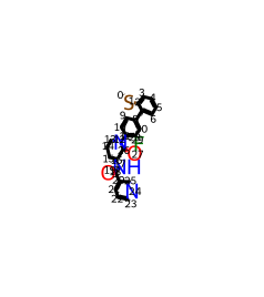 CSc1ccccc1-c1ccc(N2CCCC(NC(=O)c3cccnc3)C2=O)c(F)c1